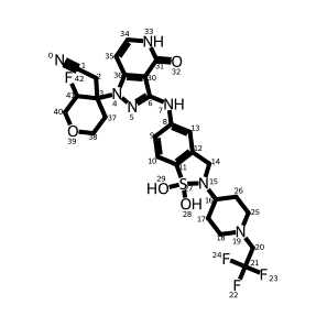 N#CCC1(n2nc(Nc3ccc4c(c3)CN(C3CCN(CC(F)(F)F)CC3)S4(O)O)c3c(=O)[nH]ccc32)CCOCC1F